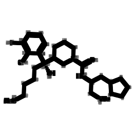 CNCC(CC1CCCC1)NC(=O)N1CCCC([C@@](O)(CCCCOC)c2cccc(F)c2Cl)C1